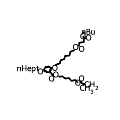 C=C(C)C(=O)OCCCCCCOC(=O)c1cc(OCCCCCCC)ccc1OCCCCCCCCOC(=O)CCC(=O)OCCCC